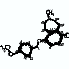 COc1ccc(COc2ccc(Cl)c3c2CCN(C)CC3)cc1